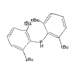 CC(C)(C)c1cccc(C(C)(C)C)c1Pc1c(C(C)(C)C)cccc1C(C)(C)C